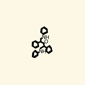 O=C(C(CNc1ccccc1)c1ccccc1)C(CNc1ccccc1)c1ccccc1